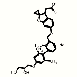 Cc1cc(OC[C@@H](O)CO)cc(C)c1-c1cccc(COc2ccc3c(c2)OC2(CC2)C3CC(=O)[O-])c1C.[Na+]